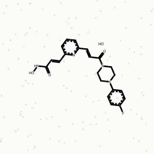 Cl.O=C(C=Cc1cccc(C=CC(=O)N2CCN(c3ccc(F)cc3)CC2)n1)NO